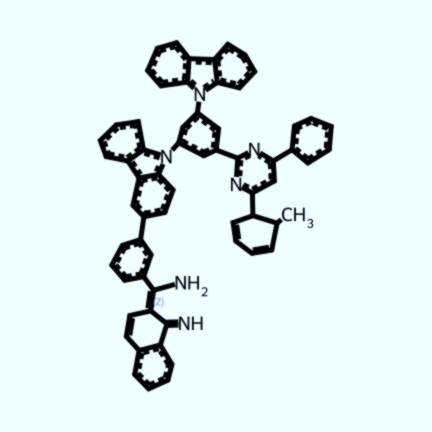 CC1C=CC=CC1c1cc(-c2ccccc2)nc(-c2cc(-n3c4ccccc4c4ccccc43)cc(-n3c4ccccc4c4cc(-c5cccc(/C(N)=C6\C=Cc7ccccc7C6=N)c5)ccc43)c2)n1